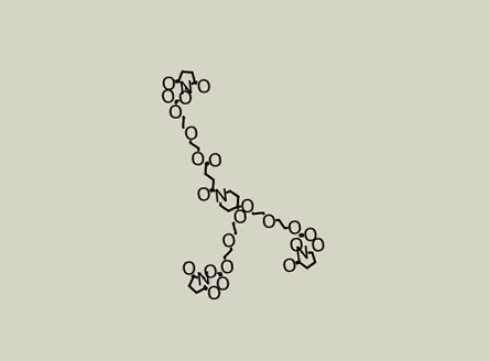 O=C(CCC(=O)N1CCC(OCCOCCOC(=O)ON2C(=O)CCC2=O)(OCCOCCOC(=O)ON2C(=O)CCC2=O)CC1)OCCOCCOC(=O)ON1C(=O)CCC1=O